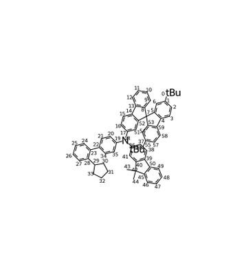 CC(C)(C)c1ccc2c(c1)C1(c3ccccc3-c3ccc(N(c4ccc(-c5ccccc5C5CCCC5)cc4)c4ccc5c(c4)C(C)(C)c4ccccc4-5)cc31)c1cc(C(C)(C)C)ccc1-2